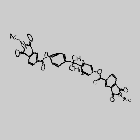 CC(=O)N1C(=O)c2ccc(C(=O)Oc3ccc(C(C)(C)c4ccc(OC(=O)c5ccc6c(c5)C(=O)N(C(C)=O)C6=O)cc4)cc3)cc2C1=O